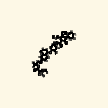 Cc1c(C(=O)Nc2ccc(Oc3ccnc4cc(OCC5(OC(=O)[C@H](C)N)CC5)ccc34)c(F)c2)c(=O)n(-c2ccccc2)n1C